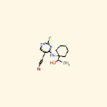 CC(O)C1(Nc2nc(Cl)ncc2C#CBr)CCCCC1